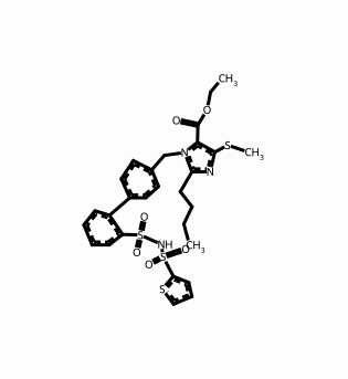 CCCCc1nc(SC)c(C(=O)OCC)n1Cc1ccc(-c2ccccc2S(=O)(=O)NS(=O)(=O)c2cccs2)cc1